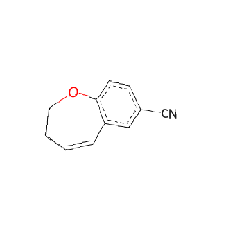 N#Cc1ccc2c(c1)C=CCCO2